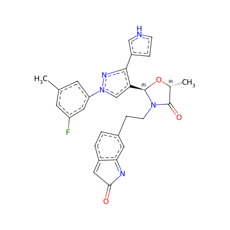 Cc1cc(F)cc(-n2cc([C@H]3O[C@H](C)C(=O)N3CCc3ccc4c(c3)=NC(=O)C=4)c(-c3cc[nH]c3)n2)c1